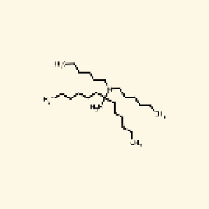 CCCCCCN(CCCCCC)C(N)(CCCCCC)CCCCCC